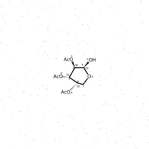 CC(=O)O[C@@H]1[C@@H](OC(C)=O)[C@@H](O)OC[C@@H]1OC(C)=O